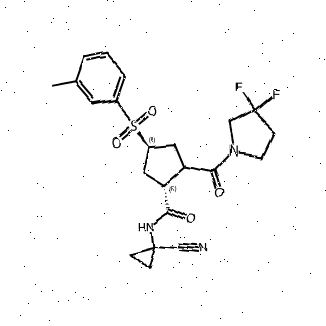 Cc1cccc(S(=O)(=O)[C@H]2CC(C(=O)N3CCC(F)(F)C3)[C@H](C(=O)NC3(C#N)CC3)C2)c1